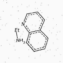 CCN.c1ccc2ncccc2c1